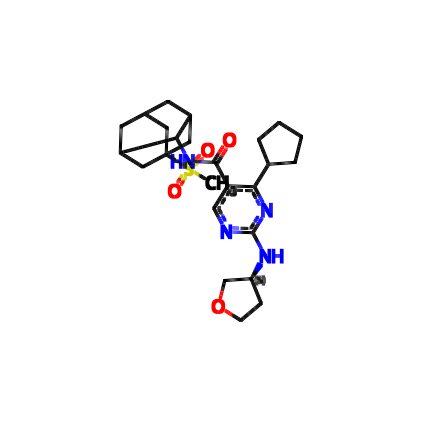 CS(=O)(=O)C12CC3CC(C1)C(NC(=O)c1cnc(N[C@H]4CCOC4)nc1C1CCCC1)C(C3)C2